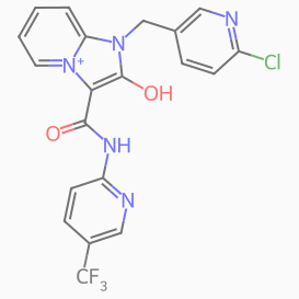 O=C(Nc1ccc(C(F)(F)F)cn1)c1c(O)n(Cc2ccc(Cl)nc2)c2cccc[n+]12